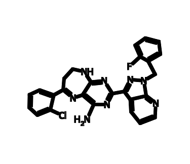 Nc1nc(-c2nn(Cc3ccccc3F)c3ncccc23)nc2c1N=C(c1ccccc1Cl)CCN2